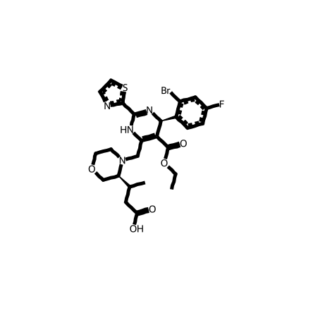 CCOC(=O)C1=C(CN2CCOC[C@@H]2C(C)CC(=O)O)NC(c2nccs2)=N[C@H]1c1ccc(F)cc1Br